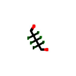 O=CC(F)(F)C(F)(F)C(F)(F)C=O